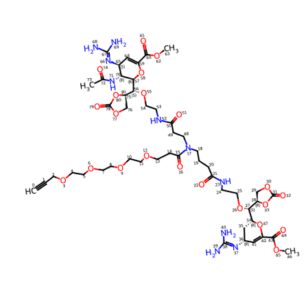 C#CCOCCOCCOCCOCCC(=O)N(CCCC(=O)NCCO[C@H]([C@H]1COC(=O)O1)[C@H]1C[C@@H](N=C(N)N)C=C(C(=O)OC)O1)CCC(=O)NCCO[C@@H]([C@@H]1OC(C(=O)OC)=C[C@H](N=C(N)N)[C@H]1NC(C)=O)[C@H]1COC(=O)O1